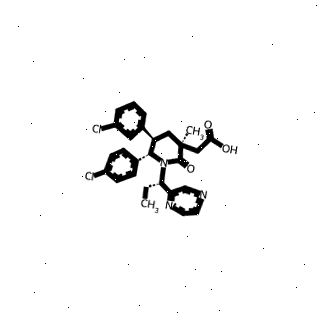 CC[C@@H](c1cnccn1)N1C(=O)[C@](C)(CC(=O)O)C[C@H](c2cccc(Cl)c2)[C@H]1c1ccc(Cl)cc1